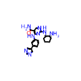 NC(=O)c1cnc(N[C@@H]2CCCC[C@@H]2N)nc1Nc1cccc(-c2cncnc2)c1